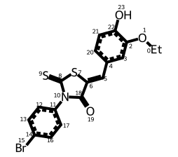 CCOc1cc(/C=C2\SC(=S)N(c3ccc(Br)cc3)C2=O)ccc1O